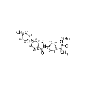 CC(C(=O)OC(C)(C)C)c1ccc(N2Cc3cc(-c4ccc(Cl)cc4)ccc3C2=O)cc1